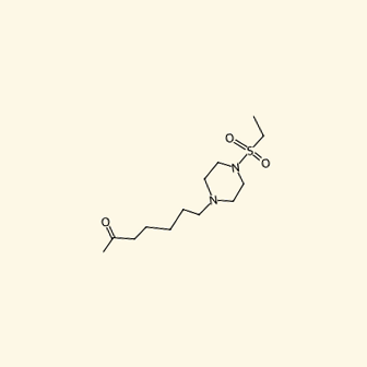 CCS(=O)(=O)N1CCN(CCCCCC(C)=O)CC1